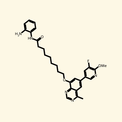 COc1ncc(-c2cc(OCCCCCCCCC(=O)Nc3ccccc3N)c3ncnc(C)c3c2)cc1F